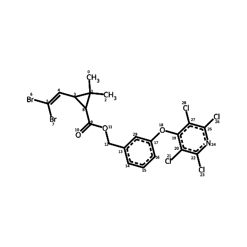 CC1(C)C(C=C(Br)Br)C1C(=O)OCc1cccc(Oc2c(Cl)c(Cl)nc(Cl)c2Cl)c1